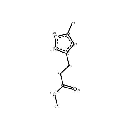 COC(=O)CCc1cc(C)on1